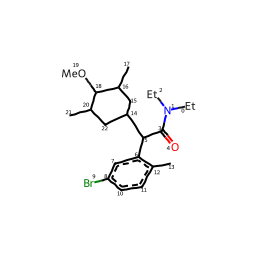 CCN(CC)C(=O)C(c1cc(Br)ccc1C)C1CC(C)C(OC)C(C)C1